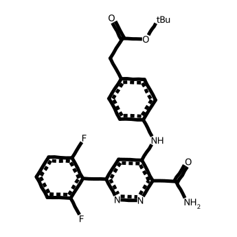 CC(C)(C)OC(=O)Cc1ccc(Nc2cc(-c3c(F)cccc3F)nnc2C(N)=O)cc1